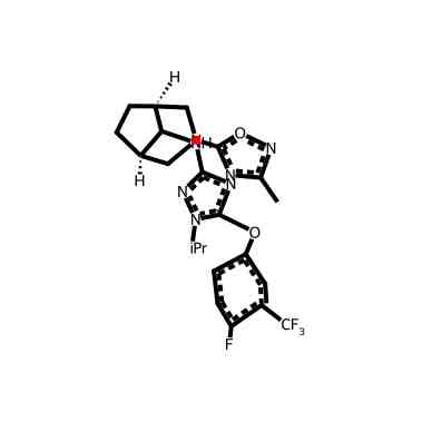 Cc1noc(N2C[C@H]3CC[C@@H](C2)C3Nc2nc(Oc3ccc(F)c(C(F)(F)F)c3)n(C(C)C)n2)n1